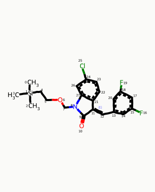 C[Si](C)(C)CCOCN1C(=O)/C(=C/c2cc(F)cc(F)c2)c2ccc(Cl)cc21